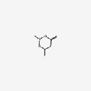 C=C1CC(C)OB(C)O1